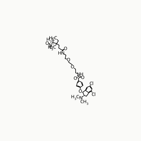 CCC(C)(CCC(=O)NCCOCCOCCNS(=O)(=O)c1ccc(O[C@@H]2c3cc(Cl)cc(Cl)c3C[C@H]2N(C)C)cc1)C(C)[N+](=O)[O-]